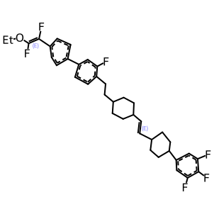 CCO/C(F)=C(\F)c1ccc(-c2ccc(CCC3CCC(/C=C/C4CCC(c5cc(F)c(F)c(F)c5)CC4)CC3)c(F)c2)cc1